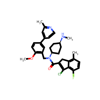 CN[C@H]1CC[C@@H](N(Cc2cc(-c3ccnc(C)c3)ccc2OC)C(=O)C2=C(Cl)c3c(F)ccc(C)c3C2)CC1